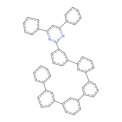 c1ccc(-c2cccc(-c3cccc(-c4cccc(-c5cccc(-c6cccc(-c7nc(-c8ccccc8)cc(-c8ccccc8)n7)c6)c5)c4)c3)c2)cc1